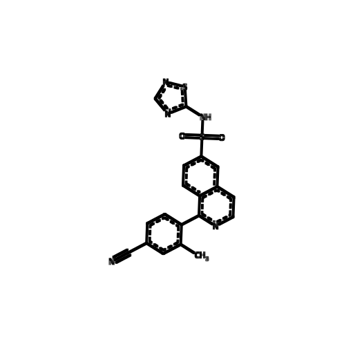 Cc1cc(C#N)ccc1-c1nccc2cc(S(=O)(=O)Nc3ncns3)ccc12